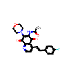 CCCCC(=O)NC1=C(N2CCOCC2)C(=O)c2nccc(/C=C/c3ccc(F)cc3)c2C1=O